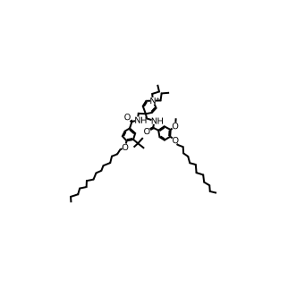 CCCCCCCCCCCCCCOc1ccc(C(=O)NCC2(CNC(=O)c3ccc(OCCCCCCCCCCCC)c(OC)c3)C=C[N+](CCC)(CCC)C=C2)cc1C(C)(C)C